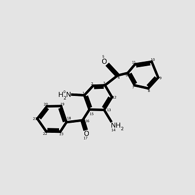 Nc1cc(C(=O)c2ccccc2)cc(N)c1C(=O)c1ccccc1